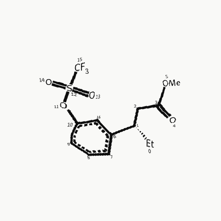 CC[C@@H](CC(=O)OC)c1cccc(OS(=O)(=O)C(F)(F)F)c1